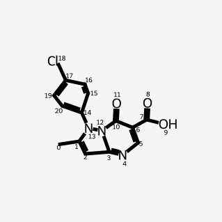 Cc1cc2ncc(C(=O)O)c(=O)n2n1-c1ccc(Cl)cc1